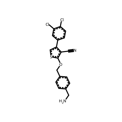 N#Cc1c(-c2ccc(Cl)c(Cl)c2)csc1OCc1ccc(CN)cc1